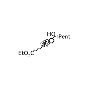 CCCCCC(O)c1ccc(CN(CCCCCCC(=O)OCC)S(C)(=O)=O)cc1